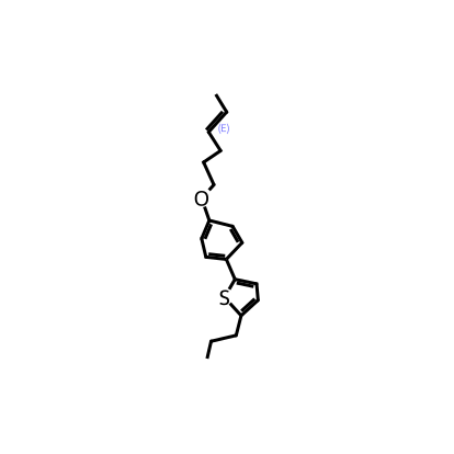 C/C=C/CCCOc1ccc(-c2ccc(CCC)s2)cc1